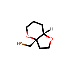 SC[C@]12CCO[C@H]1CCCO2